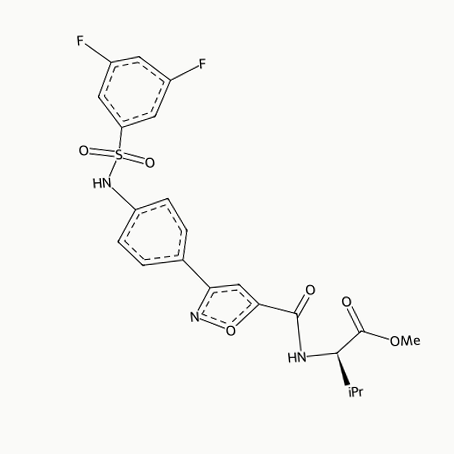 COC(=O)[C@H](NC(=O)c1cc(-c2ccc(NS(=O)(=O)c3cc(F)cc(F)c3)cc2)no1)C(C)C